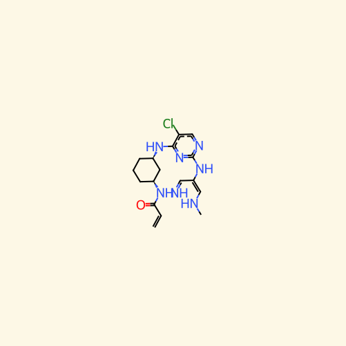 C=CC(=O)N[C@H]1CCC[C@@H](Nc2nc(N/C(C=N)=C/NC)ncc2Cl)C1